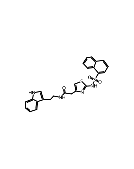 O=C(Cc1csc(NS(=O)(=O)c2cccc3ccccc23)n1)NCCc1c[nH]c2ccccc12